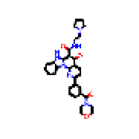 O=C(NCCN1CCCC1)c1c(=O)c2ccc(-c3cccc(C(=O)N4CCOCC4)c3)nc2n2c1[nH]c1ccccc12